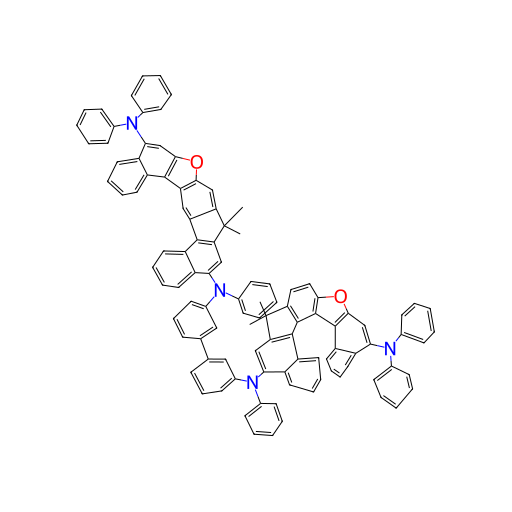 CC1(C)c2cc3oc4cc(N(c5ccccc5)c5ccccc5)c5ccccc5c4c3cc2-c2c1cc(N(c1ccccc1)c1cccc(-c3cccc(N(c4ccccc4)c4cc5c(c6ccccc46)-c4c(ccc6oc7cc(N(c8ccccc8)c8ccccc8)c8ccccc8c7c46)C5(C)C)c3)c1)c1ccccc21